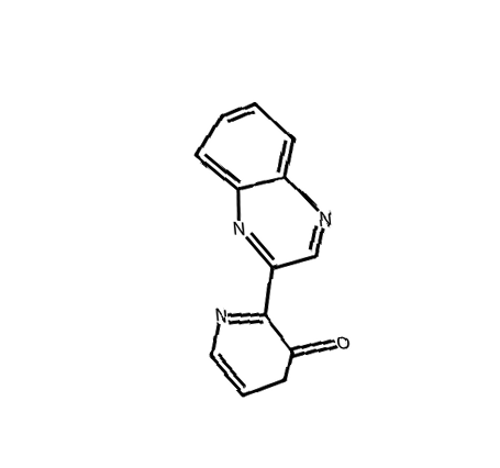 O=C1CC=CN=C1c1cnc2ccccc2n1